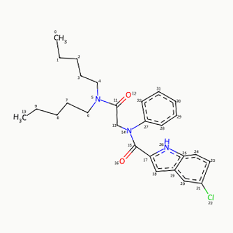 CCCCCN(CCCCC)C(=O)CN(C(=O)c1cc2cc(Cl)ccc2[nH]1)c1ccccc1